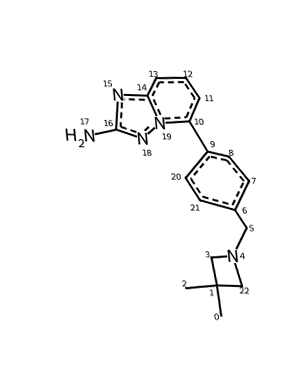 CC1(C)CN(Cc2ccc(-c3cccc4nc(N)nn34)cc2)C1